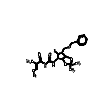 CCOC=C(C)C(=O)NC(=O)NC1C(F)C(COCc2ccccc2)C2OC(C)(C)OC12